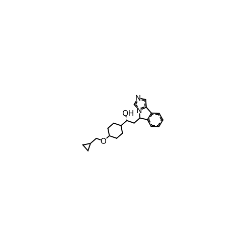 O[C@H](CC1c2ccccc2-c2cncn21)C1CCC(OCC2CC2)CC1